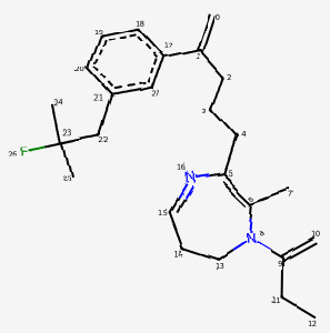 C=C(CCCC1=C(C)N(C(=C)CC)CCC=N1)c1cccc(CC(C)(C)F)c1